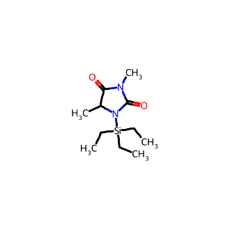 CC[Si](CC)(CC)N1C(=O)N(C)C(=O)C1C